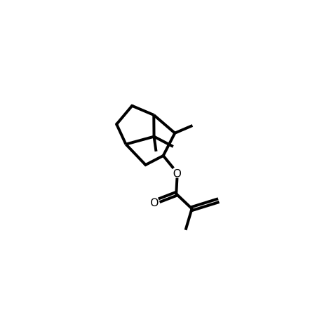 C=C(C)C(=O)OC1CC2CCC(C1C)C2(C)C